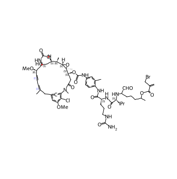 C=C(CBr)C(=O)OC(C)CCCC(C=O)N[C@H](C(=O)N[C@@H](CCCNC(N)=O)C(=O)Nc1ccc(NC(=O)O[C@H]2CC(=O)N(C)c3cc(cc(OC)c3Cl)C/C(C)=C/C=C/[C@@H](OC)[C@@]3(O)C[C@H](OC(=O)N3)[C@@H](C)[C@@H]3O[C@@]23C)cc1C)C(C)C